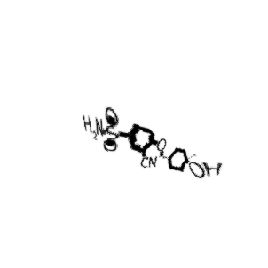 C[C@]1(O)CC[C@H](COc2ccc(S(N)(=O)=O)cc2C#N)CC1